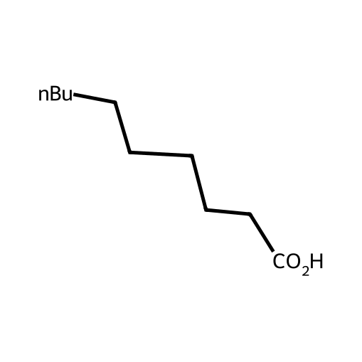 [CH2]CCCCCCCCC(=O)O